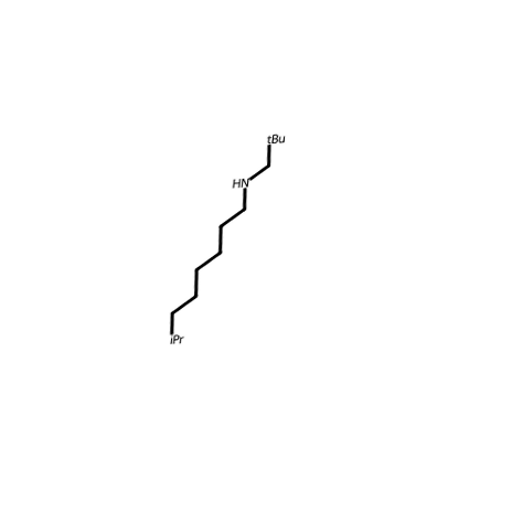 CC(C)CCCCCCNCC(C)(C)C